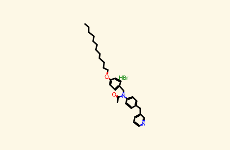 Br.CCCCCCCCCCCCOc1ccc(CN(C(C)=O)c2ccc(Cc3cccnc3)cc2)cc1